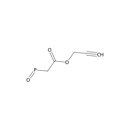 C#CCOC(=O)CP=O